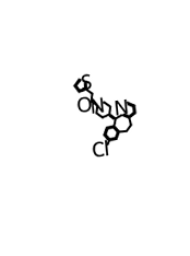 O=C(Cc1cccs1)N1CCC(=C2c3ccc(Cl)cc3CCc3cccnc32)CC1